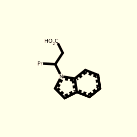 CC(C)C(CC(=O)O)n1ccc2ccccc21